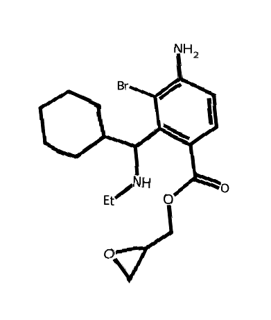 CCNC(c1c(C(=O)OCC2CO2)ccc(N)c1Br)C1CCCCC1